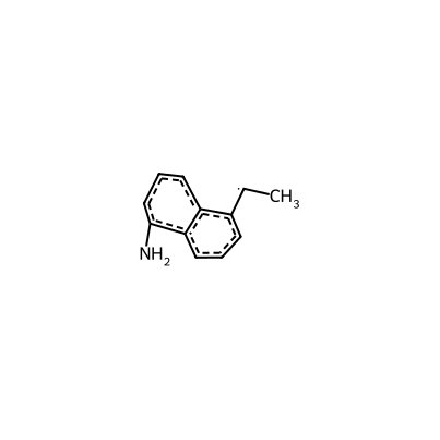 C[CH]c1cccc2c(N)cccc12